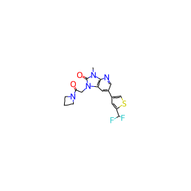 Cn1c(=O)n(CC(=O)N2CCC2)c2cc(-c3csc(C(F)F)c3)cnc21